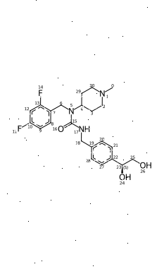 CN1CCC(N(Cc2ccc(F)cc2F)C(=O)NCc2ccc([C@H](O)CO)cc2)CC1